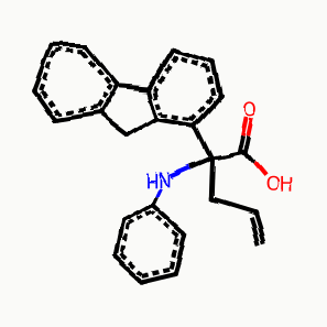 C=CCC(Nc1ccccc1)(C(=O)O)c1cccc2c1Cc1ccccc1-2